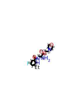 CCc1cc(F)cc(C(=O)NC[C@@H](N)C(=O)OCCN2CCOCC2)c1